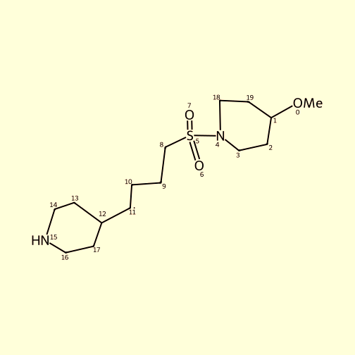 COC1CCN(S(=O)(=O)CCC[CH]C2CCNCC2)CC1